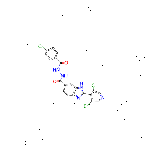 O=C(NNC(=O)c1ccc2nc(-c3c(Cl)cncc3Cl)[nH]c2c1)c1ccc(Cl)cc1